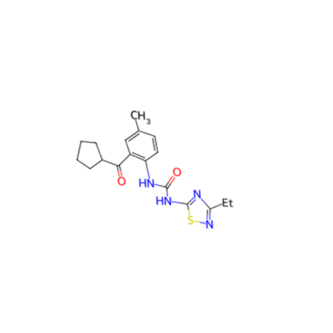 CCc1nsc(NC(=O)Nc2ccc(C)cc2C(=O)C2CCCC2)n1